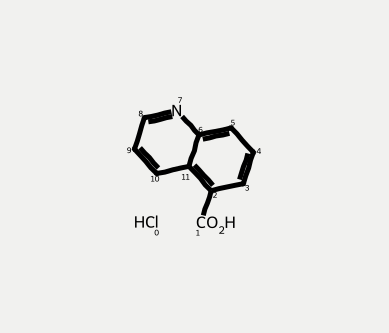 Cl.O=C(O)c1cccc2ncccc12